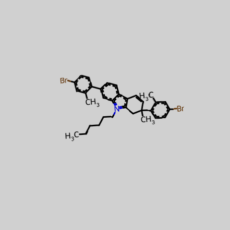 CCCCCCn1c2c(c3ccc(-c4ccc(Br)cc4C)cc31)C=CC(C)(c1ccc(Br)cc1C)C2